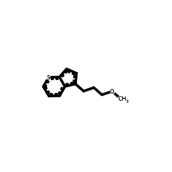 COCCCc1ccc2scccc1-2